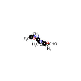 Cc1c(C)n(Cc2cccc(O[C@@H](C)C=O)c2)c2ccc(C(=O)N[C@@H](C)c3ccc(C(F)(F)F)cc3)cc12